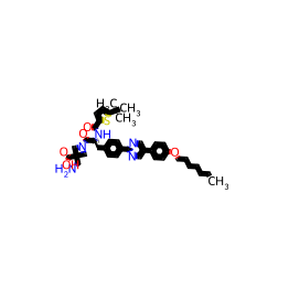 CCCCCCCOc1ccc(-c2cnc(-c3ccc(C[C@H](NC(=O)c4ccc(C(C)(C)C)s4)C(=O)N4CC(CN)(C(=O)O)C4)cc3)nc2)cc1